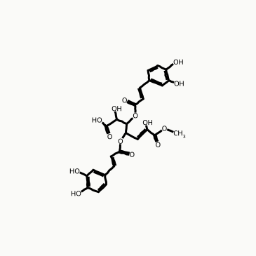 COC(=O)/C(O)=C/C(OC(=O)/C=C/c1ccc(O)c(O)c1)C(OC(=O)/C=C/c1ccc(O)c(O)c1)C(O)C(=O)O